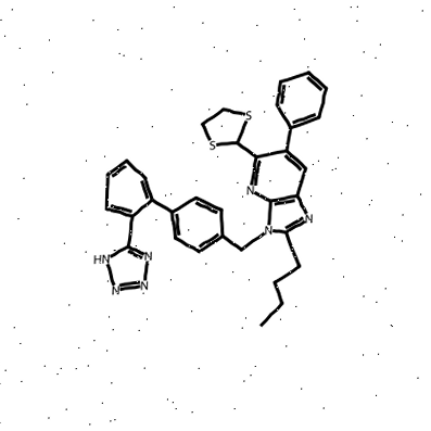 CCCCc1nc2cc(-c3ccccc3)c(C3SCCS3)nc2n1Cc1ccc(-c2ccccc2-c2nnn[nH]2)cc1